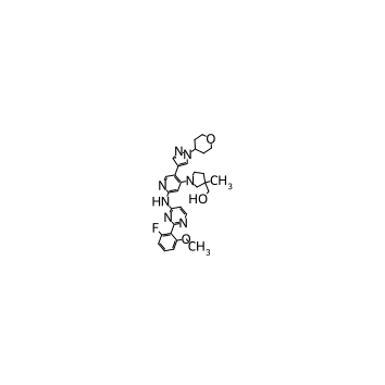 COc1cccc(F)c1-c1nccc(Nc2cc(N3CCC(C)(CO)C3)c(-c3cnn(C4CCOCC4)c3)cn2)n1